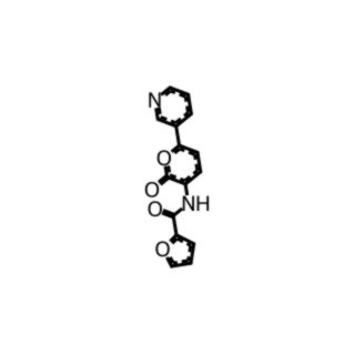 O=C(Nc1ccc(-c2cccnc2)oc1=O)c1ccco1